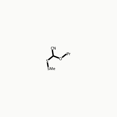 CSSC(C#N)OC(C)C